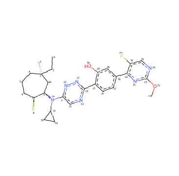 CC[C@]1(C)CCC[C@H](F)[C@H](N(c2cnc(-c3ccc(-c4nc(OC)ncc4F)cc3O)nn2)C2CC2)C1